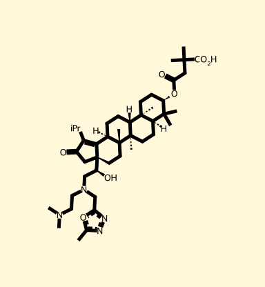 Cc1nnc(CN(CCN(C)C)C[C@H](O)[C@@]23CC[C@]4(C)[C@H](CC[C@@H]5[C@@]6(C)CC[C@H](OC(=O)CC(C)(C)C(=O)O)C(C)(C)[C@H]6CC[C@]54C)C2=C(C(C)C)C(=O)C3)o1